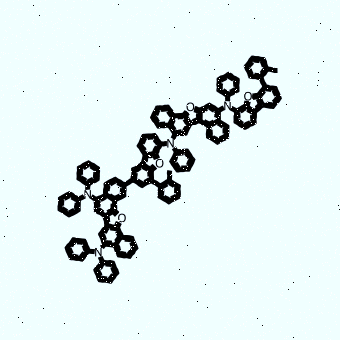 Cc1ccccc1-c1cc(-c2ccc3c(N(c4ccccc4)c4ccccc4)cc4c5cc(N(c6ccccc6)c6ccccc6)c6ccccc6c5oc4c3c2)cc2c1oc1c(N(c3ccccc3)c3cc4c(oc5cc(N(c6ccccc6)c6cccc7c6oc6c(-c8ccccc8C)cccc67)c6ccccc6c54)c4ccccc34)cccc12